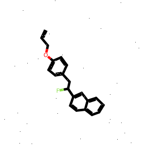 C=CCOc1ccc(CC(F)c2ccc3ccccc3c2)cc1